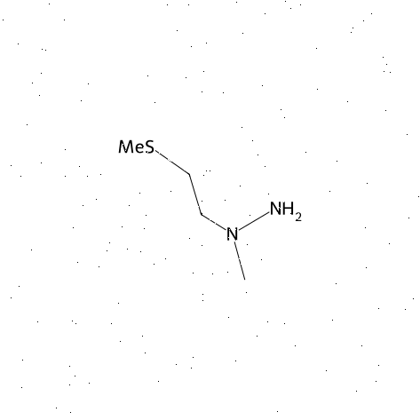 CSCCN(C)N